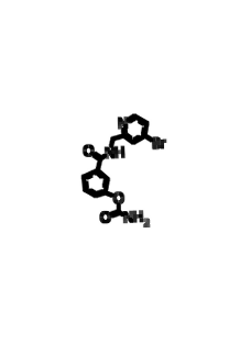 NC(=O)Oc1cccc(C(=O)NCc2cc(Br)ccn2)c1